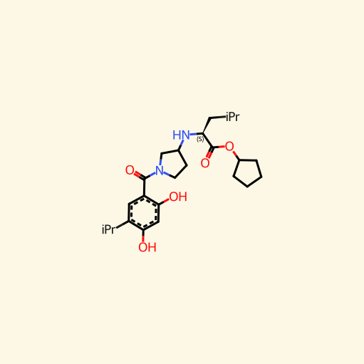 CC(C)C[C@H](NC1CCN(C(=O)c2cc(C(C)C)c(O)cc2O)C1)C(=O)OC1CCCC1